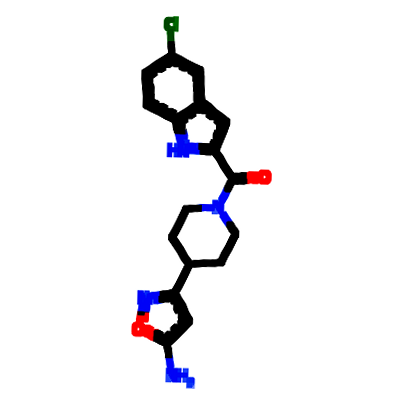 Nc1cc(C2CCN(C(=O)c3cc4cc(Cl)ccc4[nH]3)CC2)no1